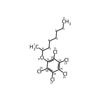 CCCCCCC(C)Oc1c(Cl)c(Cl)c(Cl)c(Cl)c1Cl